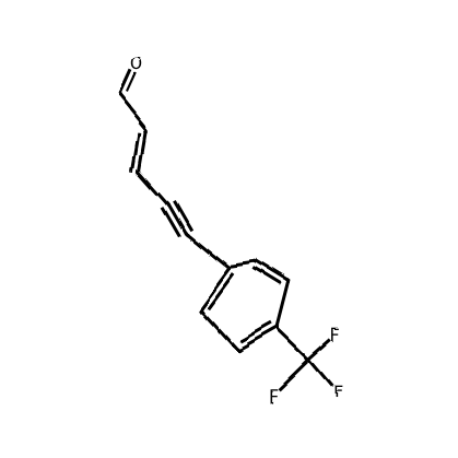 O=C/C=C/C#Cc1ccc(C(F)(F)F)cc1